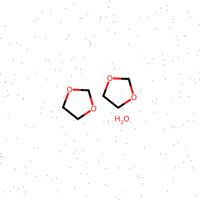 C1COCO1.C1COCO1.O